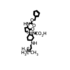 C[Si](C)(C)CCN[C@@H]1CCC(N2CCC(NC(=O)OCc3ccccc3)C2=O)C(NC(=O)O)C1